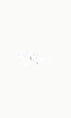 N[C@H]1CCC[C@H]2C1=C(C(=O)O)N1C(=O)[C@@H](CCO)[C@@H]21